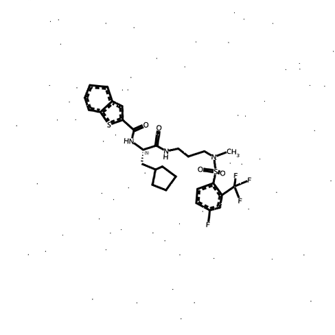 CN(CCCNC(=O)[C@H](CC1CCCC1)NC(=O)c1cc2ccccc2s1)S(=O)(=O)c1ccc(F)cc1C(F)(F)F